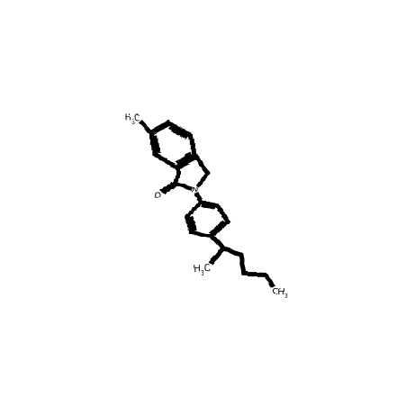 CCCCC(C)c1ccc(N2Cc3ccc(C)cc3C2=O)cc1